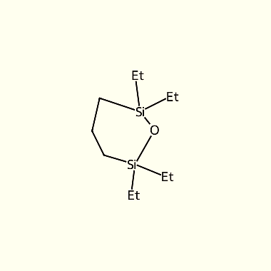 CC[Si]1(CC)CCC[Si](CC)(CC)O1